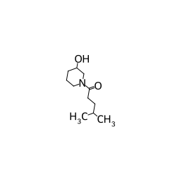 CC(C)CCC(=O)N1CCCC(O)C1